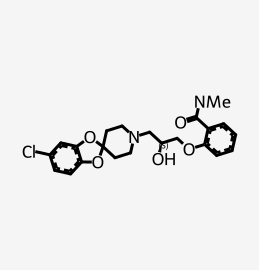 CNC(=O)c1ccccc1OC[C@@H](O)CN1CCC2(CC1)Oc1ccc(Cl)cc1O2